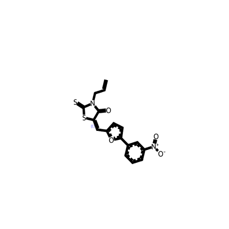 C=CCN1C(=O)/C(=C\c2ccc(-c3cccc([N+](=O)[O-])c3)o2)SC1=S